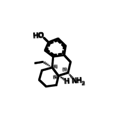 CC[C@@]12CCCC[C@@H]1[C@@H](N)Cc1ccc(O)cc12